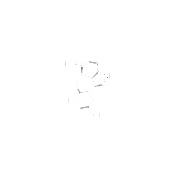 O=C(O)CC(C(=O)O)c1c[nH]c2ccc(O)cc12